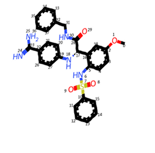 COc1ccc(NS(=O)(=O)c2ccccc2)c([C@H](Nc2ccc(C(=N)N)cc2)C(=O)NCc2ccccc2)c1